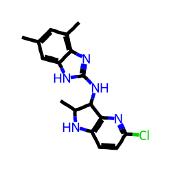 Cc1cc(C)c2nc(NC3c4nc(Cl)ccc4NC3C)[nH]c2c1